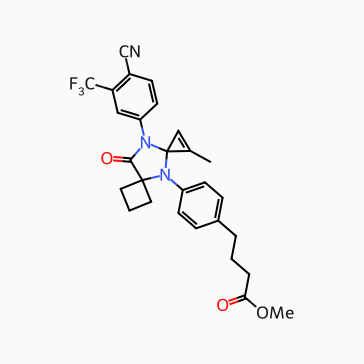 COC(=O)CCCc1ccc(N2C3(CCC3)C(=O)N(c3ccc(C#N)c(C(F)(F)F)c3)C23C=C3C)cc1